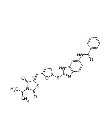 CC(C)N1C(=O)S/C(=C\c2ccc(Sc3nc4ccc(NC(=O)c5ccccc5)cc4[nH]3)o2)C1=O